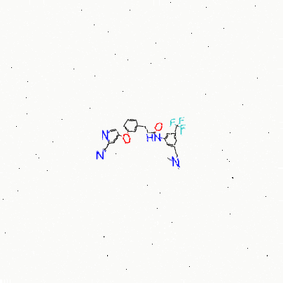 CN(C)Cc1cc(NC(=O)CCc2cccc(Oc3ccnc(C#N)c3)c2)cc(C(F)(F)F)c1